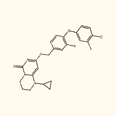 Cc1cc(Oc2ccc(COc3cc4n(c(=O)n3)CCCN4C3CC3)cc2F)ccc1Cl